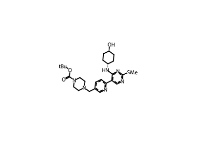 CSc1ncc(-c2ccc(CN3CCN(C(=O)OC(C)(C)C)CC3)cn2)c(N[C@H]2CC[C@H](O)CC2)n1